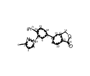 Cc1ccn(-c2cc(-c3ccc4c(c3)COC4=O)ccc2C(C)C)n1